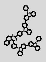 c1ccc(-n2c3ccccc3c3cc(-c4ccc5c(c4)c4ccccc4n5-c4ccc(-c5nc(-c6cccc(-n7c8ccccc8c8cc(-c9ccc%10c(c9)c9ccccc9n%10-c9ccccc9)ccc87)c6)c6c(ccc7ccccc76)n5)cc4)ccc32)cc1